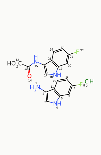 Cl.Nc1c[nH]c2cc(F)ccc12.O=C(O)C(=O)Nc1c[nH]c2cc(F)ccc12